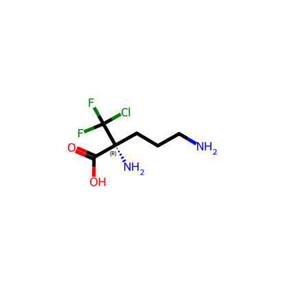 NCCC[C@@](N)(C(=O)O)C(F)(F)Cl